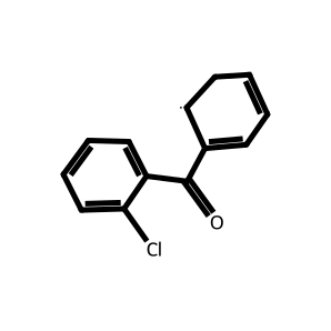 O=C(C1=CC=CC[CH]1)c1ccccc1Cl